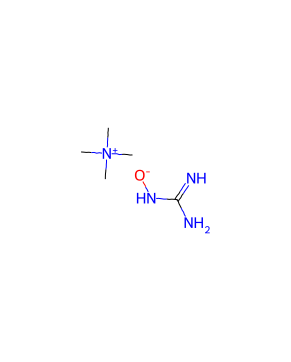 C[N+](C)(C)C.N=C(N)N[O-]